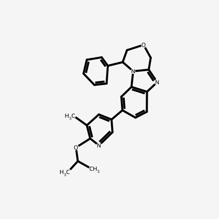 Cc1cc(-c2ccc3nc4n(c3c2)C(c2ccccc2)COC4)cnc1OC(C)C